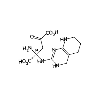 N[C@@](CC(=O)C(=O)O)(NC1=NC2=C(CCCN2)CN1)C(=O)O